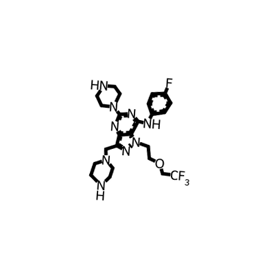 Fc1ccc(Nc2nc(N3CCNCC3)nc3c(CN4CCNCC4)nn(CCOCC(F)(F)F)c23)cc1